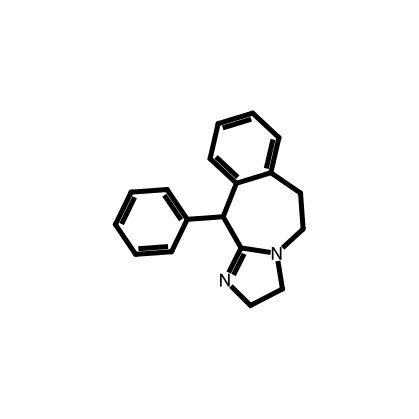 c1ccc(C2C3=NCCN3CCc3ccccc32)cc1